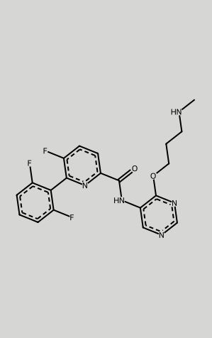 CNCCCOc1ncncc1NC(=O)c1ccc(F)c(-c2c(F)cccc2F)n1